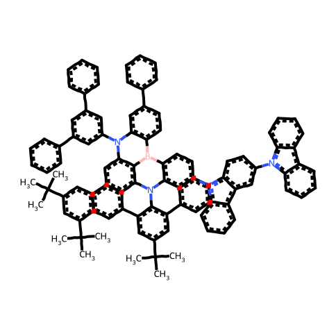 CC(C)(C)c1cc(-c2cc3c4c(c2)N(c2c(-c5ccccc5)cc(C(C)(C)C)cc2-c2ccccc2)c2cc(-n5c6ccccc6c6cc(-n7c8ccccc8c8ccccc87)ccc65)ccc2B4c2ccc(-c4ccccc4)cc2N3c2cc(-c3ccccc3)cc(-c3ccccc3)c2)cc(C(C)(C)C)c1